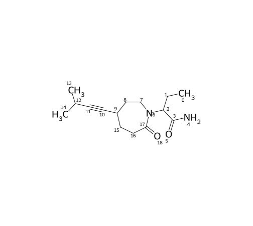 CCC(C(N)=O)N1CCC(C#CC(C)C)CCC1=O